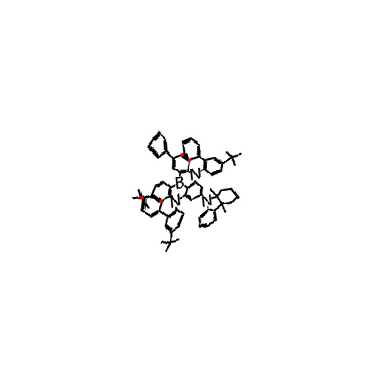 CC(C)(C)c1ccc(N2c3ccc(-c4ccccc4)cc3B3c4ccc(C(C)(C)C)cc4N(c4ccc(C(C)(C)C)cc4-c4ccccc4)c4cc(N5c6ccccc6C6(C)CCCCC56C)cc2c43)c(-c2ccccc2)c1